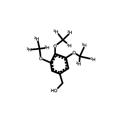 [2H]C([2H])([2H])Oc1cc(CO)cc(OC([2H])([2H])[2H])c1OC([2H])([2H])[2H]